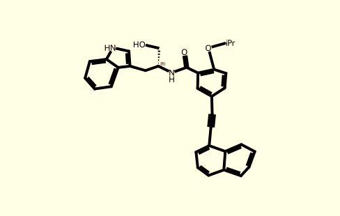 CC(C)Oc1ccc(C#Cc2cccc3ccccc23)cc1C(=O)N[C@@H](CO)Cc1c[nH]c2ccccc12